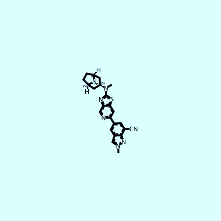 CN(c1nc2cnc(-c3cc(C#N)c4nn(C)cc4c3)cc2s1)[C@@H]1C[C@H]2CC[C@@H](C1)N2C